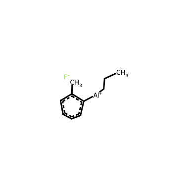 CC[CH2][Al+][c]1ccccc1C.[F-]